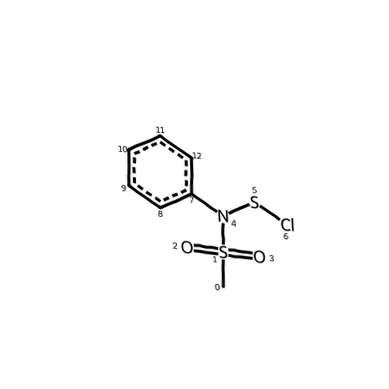 CS(=O)(=O)N(SCl)c1ccccc1